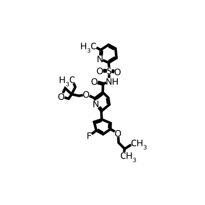 CCC1(COc2nc(-c3cc(F)cc(OCC(C)C)c3)ccc2C(=O)NS(=O)(=O)c2cccc(C)n2)COC1